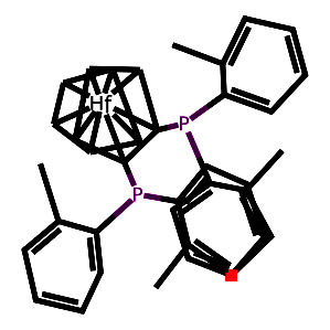 Cc1ccccc1P(c1ccccc1C)[C]12[CH]3[CH]4[CH]5[C]1(P(c1ccccc1C)c1ccccc1C)[Hf]43521678[CH]2[CH]1[CH]6[CH]7[CH]28